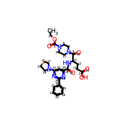 CCOC(=O)N1CCN(C(=O)C(CCC(=O)O)NC(=O)c2cc(N3CCSC3)nc(-c3ccccc3)n2)CC1